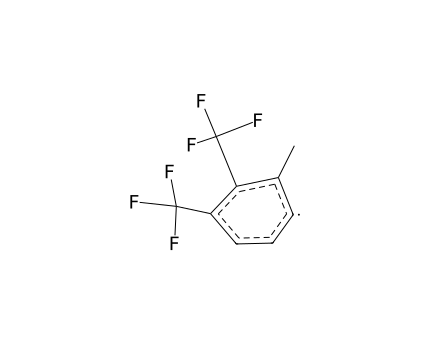 Cc1[c]ccc(C(F)(F)F)c1C(F)(F)F